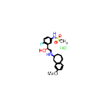 COc1ccc2c(c1)CC(NC[C@@H](O)c1cc(NS(C)(=O)=O)ccc1F)CCC2.Cl